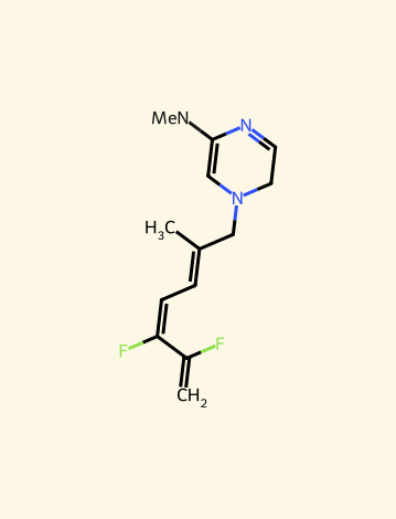 C=C(F)/C(F)=C\C=C(/C)CN1C=C(NC)N=CC1